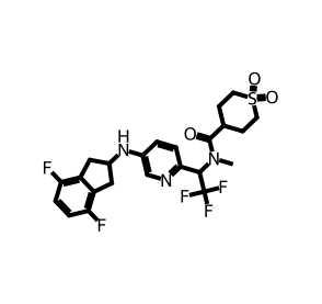 CN(C(=O)C1CCS(=O)(=O)CC1)C(c1ccc(NC2Cc3c(F)ccc(F)c3C2)cn1)C(F)(F)F